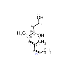 C/C=C\C(C)=C\[C@H](C)[C@@H](O)CCO